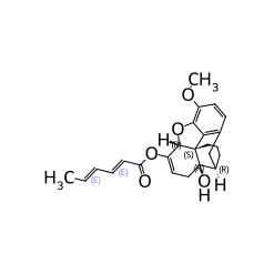 C/C=C/C=C/C(=O)OC1=CC[C@@]2(O)[C@@H]3CCC[C@@]24c2c(ccc(OC)c2O[C@@H]14)C3